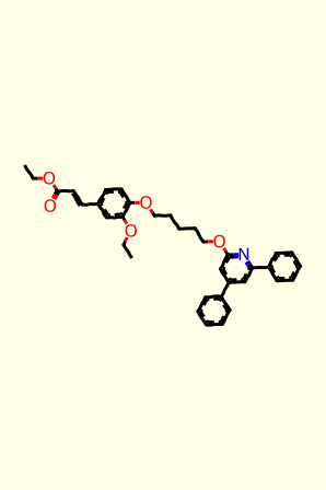 CCOC(=O)C=Cc1ccc(OCCCCCOc2cc(-c3ccccc3)cc(-c3ccccc3)n2)c(OCC)c1